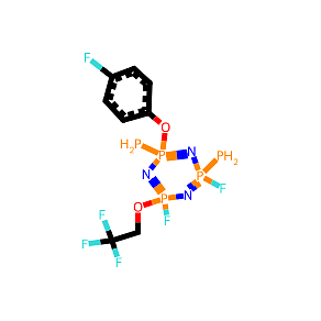 Fc1ccc(OP2(P)=NP(F)(P)=NP(F)(OCC(F)(F)F)=N2)cc1